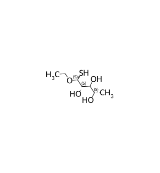 CCO[C@@H](S)[C@@H](O)C(O)[C@H](C)O